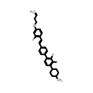 C=CCCOc1ccc(/C=C/c2ccc(-c3ccc(C4CCC(C)CC4)c(F)c3F)cc2)c(F)c1